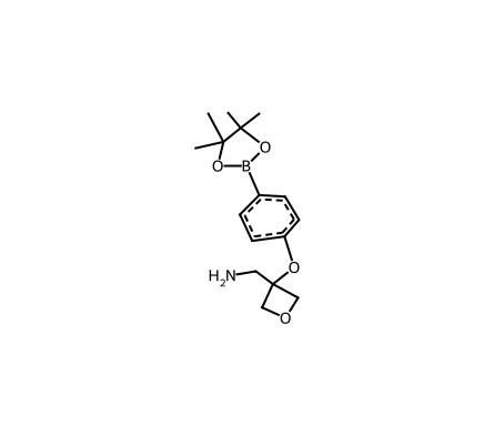 CC1(C)OB(c2ccc(OC3(CN)COC3)cc2)OC1(C)C